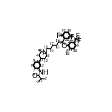 CC(C)C(=O)Nc1cccc(C2CCN(CCCCCC(Oc3cc(C(F)(F)F)ccc3F)c3ccccc3F)CC2)c1